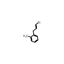 CCC=CCc1ccccc1C